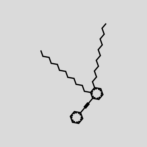 CCCCCCCCCCCCc1cccc(C#Cc2ccccc2)c1CCCCCCCCCCCC